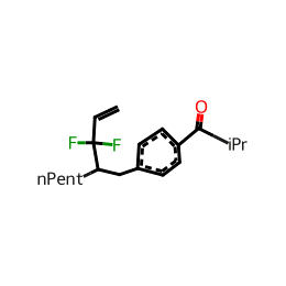 C=CC(F)(F)C(CCCCC)Cc1ccc(C(=O)C(C)C)cc1